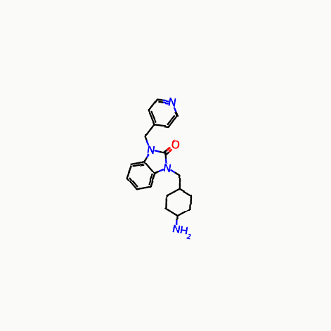 NC1CCC(Cn2c(=O)n(Cc3ccncc3)c3ccccc32)CC1